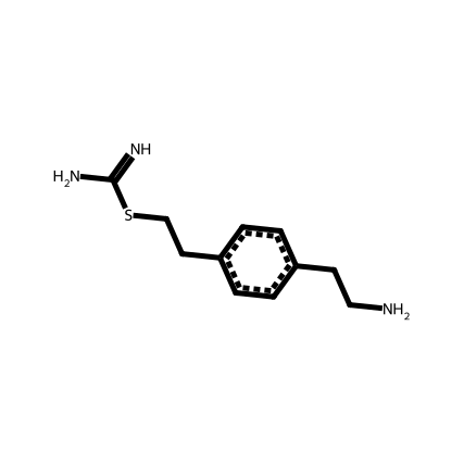 N=C(N)SCCc1ccc(CCN)cc1